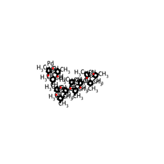 Cc1cc(C)c(P(c2c(C)cc(C)cc2C)c2c(C)cc(C)cc2C)c(C)c1.Cc1cc(C)c(P(c2c(C)cc(C)cc2C)c2c(C)cc(C)cc2C)c(C)c1.Cc1cc(C)c(P(c2c(C)cc(C)cc2C)c2c(C)cc(C)cc2C)c(C)c1.Cc1cc(C)c(P(c2c(C)cc(C)cc2C)c2c(C)cc(C)cc2C)c(C)c1.[Pd]